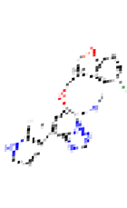 CC1=C(c2cc3c(n4ncnc24)NCc2c(F)ccc4c2[C@H](CO4)CO3)C=CCN1